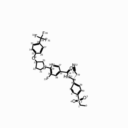 CCS(=O)(=O)c1ccc([C@@H](CC#N)NC(=O)c2cnc(N3CCC(Oc4ccc(C(F)(F)F)cc4)C3)c(F)c2)cc1